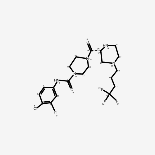 O=C(Nc1ccc(Cl)c(Cl)c1)N1CCN(C(=O)[C@H]2CN(CCCC(F)(F)F)CCN2)CC1